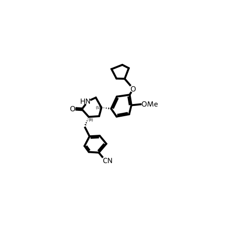 COc1ccc([C@H]2CNC(=O)[C@@H](Cc3ccc(C#N)cc3)C2)cc1OC1CCCC1